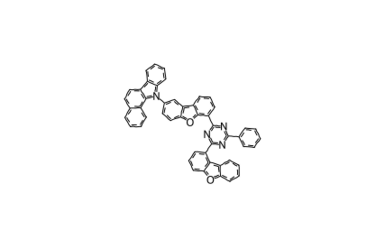 c1ccc(-c2nc(-c3cccc4c3oc3ccc(-n5c6ccccc6c6ccc7ccccc7c65)cc34)nc(-c3cccc4oc5ccccc5c34)n2)cc1